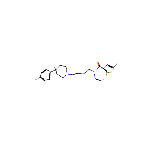 Cc1cc2c(s1)SCCN(CCCCN1CCC(O)(c3ccc(Cl)cc3)CC1)C2=O.Cl